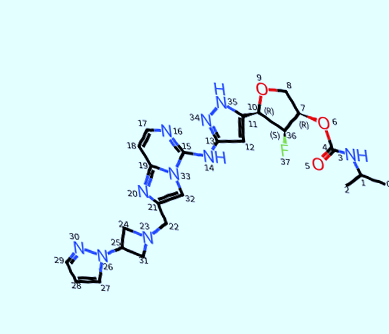 CC(C)NC(=O)O[C@@H]1CO[C@H](c2cc(Nc3nccc4nc(CN5CC(n6cccn6)C5)cn34)n[nH]2)[C@@H]1F